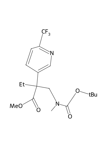 CCC(CN(C)C(=O)OC(C)(C)C)(C(=O)OC)c1ccc(C(F)(F)F)nc1